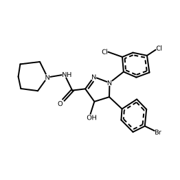 O=C(NN1CCCCC1)C1=NN(c2ccc(Cl)cc2Cl)C(c2ccc(Br)cc2)C1O